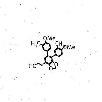 COc1ccc(-c2[c]c(CCO)c3c(c2-c2ccc(OC)c(C)c2)OCO3)cc1C